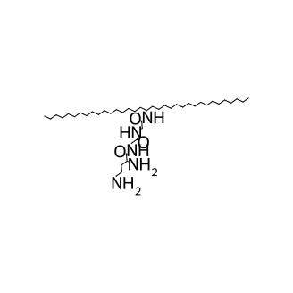 CCCCCCCCCCCCCCCCCC(CCCCCCCCCCCCCCCCC)NC(=O)CNC(=O)CNC(=O)C(N)CCCN